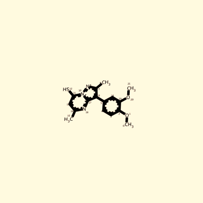 COc1ccc(-c2c(C)nn3c(S)cc(C)nc23)cc1OC